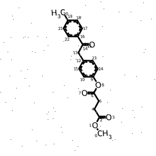 COC(=O)CCC(=O)Oc1ccc(CC(=O)c2ccc(C)cc2)cc1